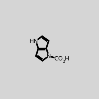 O=C(O)n1ccc2[nH]ccc21